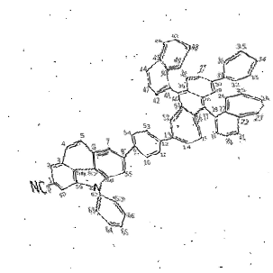 N#Cc1cc2ccc3cc(-c4ccc(-c5ccc6c(-c7cccc8ccccc78)c7cc(-c8ccccc8)ccc7c(-c7cccc8ccccc78)c6c5)cc4)cc4c3c2c(c1)n4-c1ccccc1